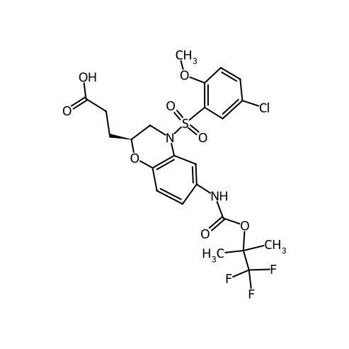 COc1ccc(Cl)cc1S(=O)(=O)N1C[C@H](CCC(=O)O)Oc2ccc(NC(=O)OC(C)(C)C(F)(F)F)cc21